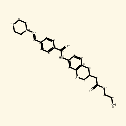 O=C(CC1COc2cc(NC(=O)c3ccc(/C=N/N4CCSCC4)cc3)ccc2C1)OCCO